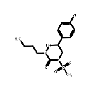 CCCCN1NC(c2ccc(Cl)cc2)CN(S(C)(=O)=O)C1=O